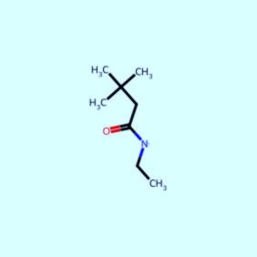 CC[N]C(=O)CC(C)(C)C